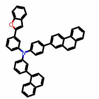 c1cc(-c2cc3ccccc3o2)cc(N(c2ccc(-c3ccc4c(ccc5ccccc54)c3)cc2)c2cccc(-c3cccc4ccccc34)c2)c1